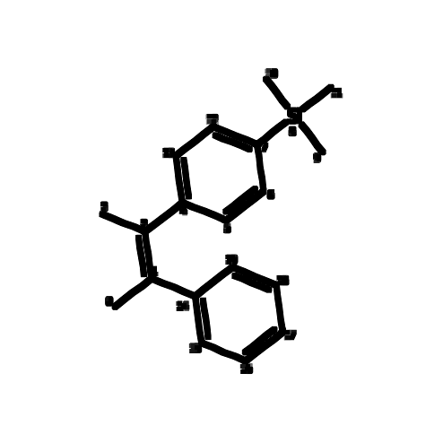 C/C(=C(\C)c1ccc([Si](C)(C)C)cc1)c1ccccc1